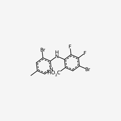 Cc1cnc(Nc2c(C(=O)O)cc(Br)c(F)c2F)c(Br)c1